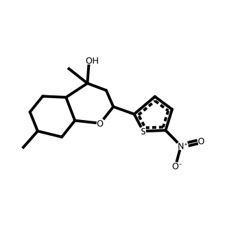 CC1CCC2C(C1)OC(c1ccc([N+](=O)[O-])s1)CC2(C)O